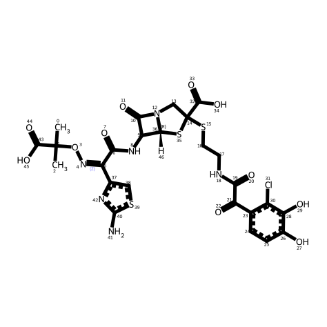 CC(C)(O/N=C(\C(=O)NC1C(=O)N2CC(SCCNC(=O)C(=O)c3ccc(O)c(O)c3Cl)(C(=O)O)S[C@H]12)c1csc(N)n1)C(=O)O